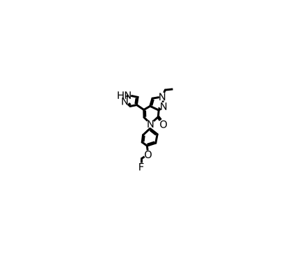 CCn1cc2c(-c3cn[nH]c3)cn(-c3ccc(OCF)cc3)c(=O)c2n1